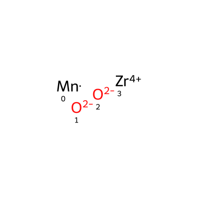 [Mn].[O-2].[O-2].[Zr+4]